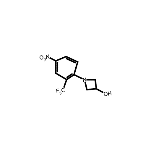 O=[N+]([O-])c1ccc(N2CC(O)C2)c(C(F)(F)F)c1